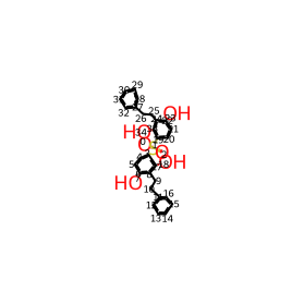 O=S(=O)(c1ccc(O)c(CCc2ccccc2)c1O)c1ccc(O)c(CCc2ccccc2)c1O